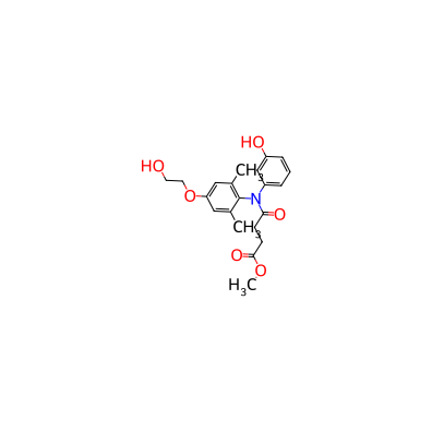 COC(=O)CCC(=O)N(c1cccc(O)c1)c1c(C)cc(OCCO)cc1C